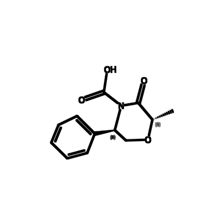 C[C@@H]1OC[C@@H](c2ccccc2)N(C(=O)O)C1=O